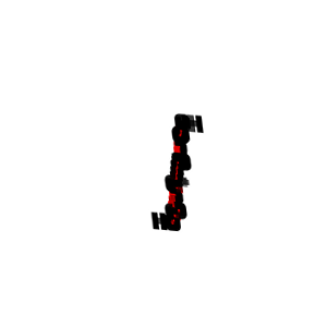 O=C(CSCSCSCC[S+]([O-])CSCSCSCSC(=O)CSCSCSCCOOCCCO)OCCCO